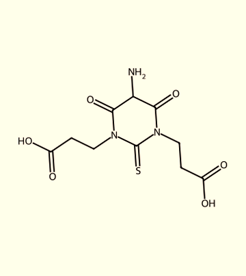 NC1C(=O)N(CCC(=O)O)C(=S)N(CCC(=O)O)C1=O